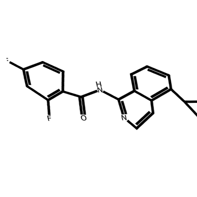 O=C(Nc1nccc2c(C3CC3)cccc12)c1ccc(F)cc1F